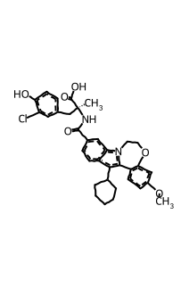 COc1ccc2c(c1)OCCn1c-2c(C2CCCCC2)c2ccc(C(=O)N[C@@](C)(Cc3ccc(O)c(Cl)c3)C(=O)O)cc21